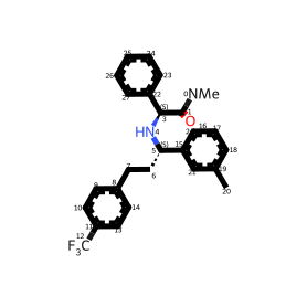 CNC(=O)[C@@H](N[C@@H](CCc1ccc(C(F)(F)F)cc1)c1cccc(C)c1)c1ccccc1